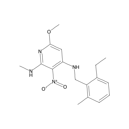 CCc1cccc(C)c1CNc1cc(OC)nc(NC)c1[N+](=O)[O-]